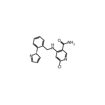 NC(=O)c1cnc(Cl)cc1NCc1ccccc1I1C=CC=N1